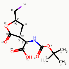 CC(C)(C)OC(=O)N[C@@H](C(=O)O)[C@@H]1C[C@H](CI)OC1=O